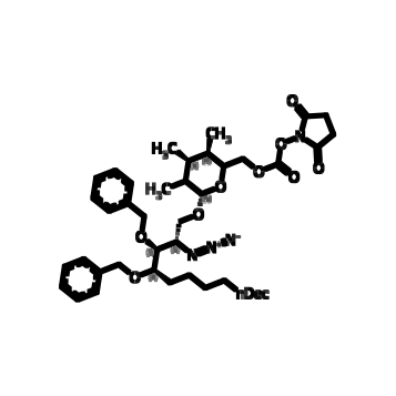 CCCCCCCCCCCCCC[C@@H](OCc1ccccc1)[C@@H](OCc1ccccc1)[C@H](CO[C@H]1OC(COC(=O)ON2C(=O)CCC2=O)[C@H](C)[C@H](C)C1C)N=[N+]=[N-]